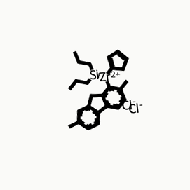 CCC[Si](CCC)=[Zr+2]([C]1=CC=CC1)[c]1c(C)ccc2c1Cc1cc(C)ccc1-2.[Cl-].[Cl-]